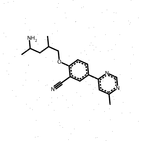 Cc1cc(-c2ccc(OCC(C)CC(C)N)c(C#N)c2)ncn1